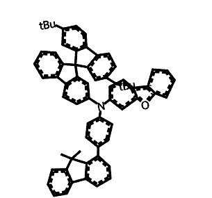 CC(C)(C)c1ccc2c(c1)C1(c3ccccc3-c3ccc(N(c4ccc(-c5cccc6c5C(C)(C)c5ccccc5-6)cc4)c4ccc5c(c4)oc4ccccc45)cc31)c1cc(C(C)(C)C)ccc1-2